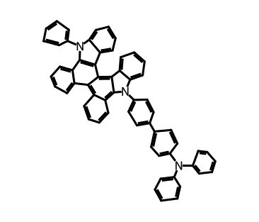 c1ccc(N(c2ccccc2)c2ccc(-c3ccc(-n4c5ccccc5c5c6c(c7ccccc7c7c6c6ccccc6n7-c6ccccc6)c6ccccc6c54)cc3)cc2)cc1